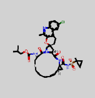 Cc1nc2ccc(Cl)cc2c2c1O[C@]1(CC2)C[C@H]2C(=O)N[C@]3(C(=O)NS(=O)(=O)C4(C)CC4)C[C@H]3/C=C\CCCCC[C@H](NC(=O)OCC(C)C)C(=O)N2C1